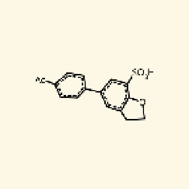 CC(=O)c1ccc(-c2cc3c(c(S(=O)(=O)O)c2)OCC3)cc1